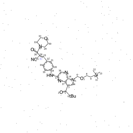 CC(C)(C)C(=O)c1cn(COCC[Si](C)(C)C)c2ncc(Nc3ccc(/C=C(\C#N)C(=O)N4CCOCC4)cc3)nc12